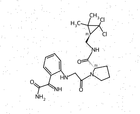 CC1(C)[C@H](CNC(=O)[C@@H]2CCCN2C(=O)CNc2ccccc2C(=N)C(N)=O)C1(Cl)Cl